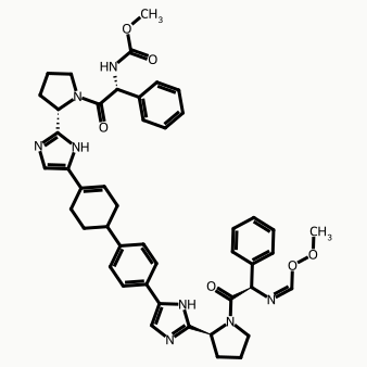 COO/C=N\[C@@H](C(=O)N1CCC[C@H]1c1ncc(-c2ccc(C3CC=C(c4cnc([C@@H]5CCCN5C(=O)[C@H](NC(=O)OC)c5ccccc5)[nH]4)CC3)cc2)[nH]1)c1ccccc1